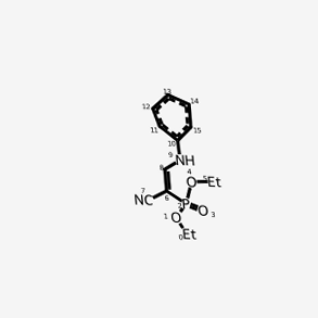 CCOP(=O)(OCC)C(C#N)=CNc1ccccc1